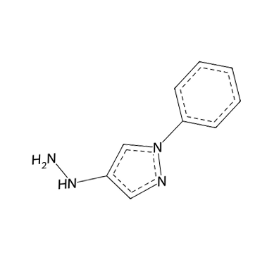 NNc1cnn(-c2ccccc2)c1